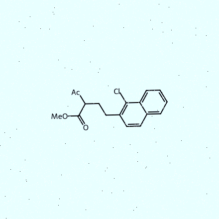 COC(=O)C(CCc1ccc2ccccc2c1Cl)C(C)=O